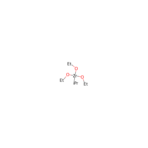 CC[O][Zr]([O]CC)([O]CC)[CH](C)C